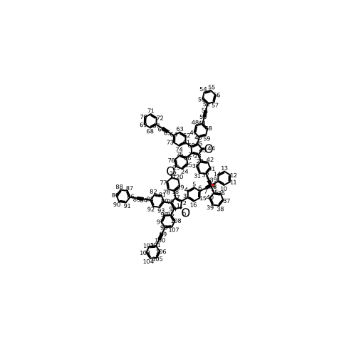 O=C1C(c2ccc(C#Cc3ccccc3)cc2)=C(C2=CCC(Oc3ccc(C4=C(c5ccc(C#Cc6ccccc6)cc5)C(=O)C(c5ccc(C#Cc6ccccc6)cc5)=C4c4ccc(C#Cc5ccccc5)cc4)cc3)C=C2)C(c2ccc(C#Cc3ccccc3)cc2)=C1c1ccc(C#Cc2ccccc2)cc1